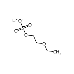 CCOCCOS(=O)(=O)[O-].[Li+]